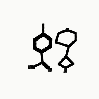 C1CC(C2CNC2)CCO1.Cc1ccc(S(=O)O)cc1